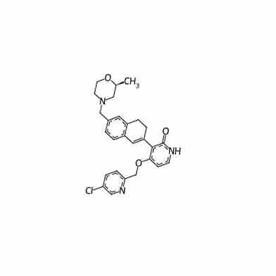 C[C@H]1CN(Cc2ccc3c(c2)CCC(c2c(OCc4ccc(Cl)cn4)cc[nH]c2=O)=C3)CCO1